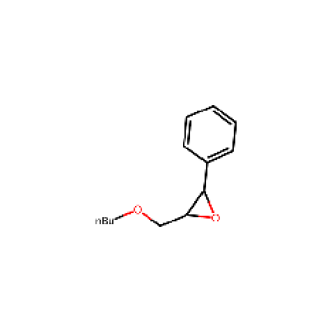 CCCCOCC1OC1c1ccccc1